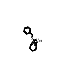 O=C(OCc1ccccc1)N1C2CCCC1C(O)C2